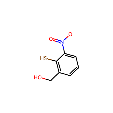 O=[N+]([O-])c1cccc(CO)c1S